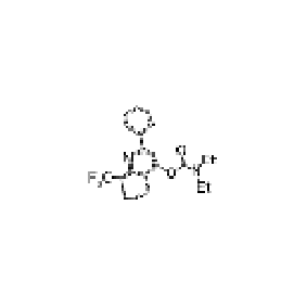 CCN(CC)C(=O)Oc1cc(-c2ccccc2)nc2c(C(F)(F)F)cccc12